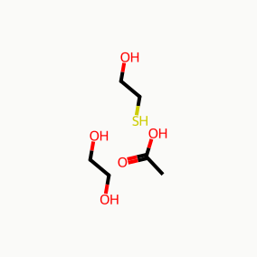 CC(=O)O.OCCO.OCCS